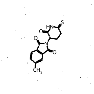 Cc1ccc2c(c1)C(=O)N(C1CCC(=S)NC1=O)C2=O